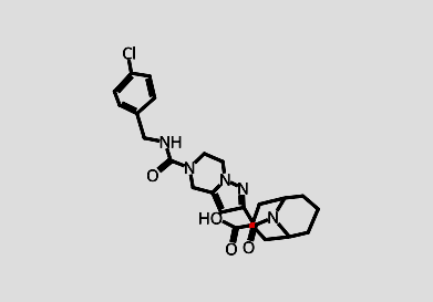 O=C(O)C1CC2CCCC(C1)N2C(=O)c1cc2n(n1)CCN(C(=O)NCc1ccc(Cl)cc1)C2